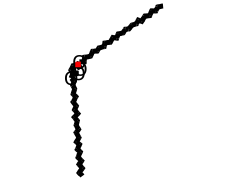 CCCCCCCCCCCCCCCCCCCCCCCCCOC(=O)/C=C\C(=O)OCCCCCCCCCCCCCCCCCCCCCCCCC